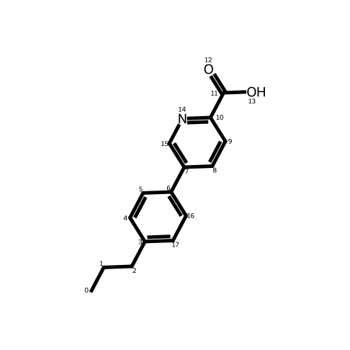 CCCc1ccc(-c2ccc(C(=O)O)nc2)cc1